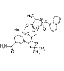 COC(COP(=O)(NC(C)C(=O)OCC(C)(C)C)Oc1cccc2ccccc12)[C@H]1OC(C)(C)O[C@H]1N1C=CCC(C(N)=O)=C1